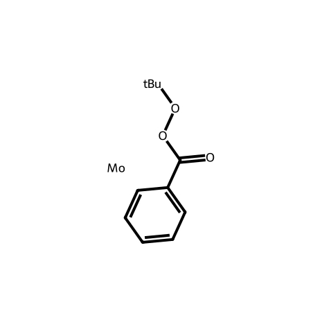 CC(C)(C)OOC(=O)c1ccccc1.[Mo]